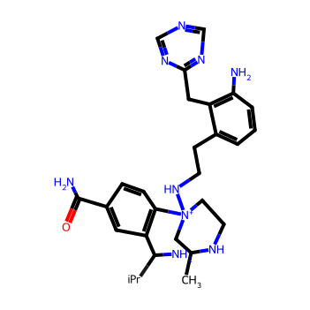 CC1C[N+](NCCc2cccc(N)c2Cc2ncncn2)(c2ccc(C(N)=O)cc2C(N)C(C)C)CCN1